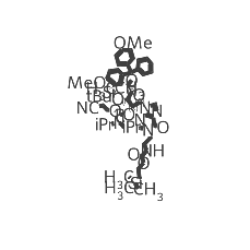 COc1ccc(C(OC[C@H]2O[C@@H](n3cnc4c(=O)n(CCNC(=O)OCC[Si](C)(C)C)cnc43)[C@H](OP(OCCC#N)N(C(C)C)C(C)C)[C@@H]2O[Si](C)(C)C(C)(C)C)(c2ccccc2)c2ccc(OC)cc2)cc1